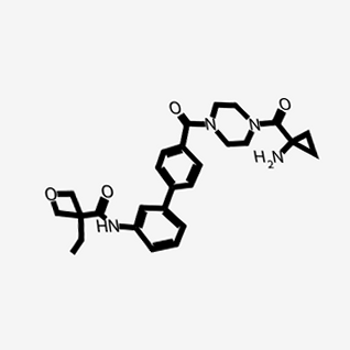 CCC1(C(=O)Nc2cccc(-c3ccc(C(=O)N4CCN(C(=O)C5(N)CC5)CC4)cc3)c2)COC1